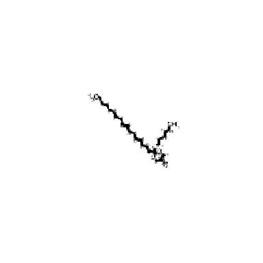 CCCCCCCCCCCCCCCCCC1(OCCCCCC)OCC(=O)CO1